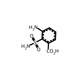 Nc1cccc(C(=O)O)c1S(N)(=O)=O